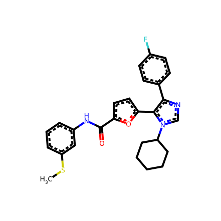 CSc1cccc(NC(=O)c2ccc(-c3c(-c4ccc(F)cc4)ncn3C3CCCCC3)o2)c1